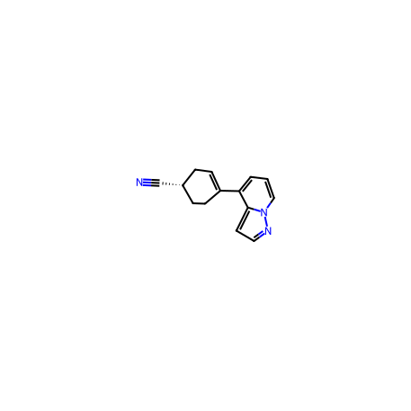 N#C[C@@H]1CC=C(c2cccn3nccc23)CC1